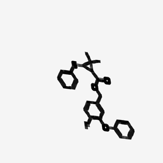 CC1(C)C(Sc2ccccc2)C1C(=O)OCc1ccc(F)c(Oc2ccccc2)c1